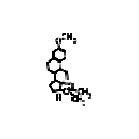 COC1=CCC2=C(CCC3C2CC[C@]24COC(C)(C)O[C@H]2CCC34)C1